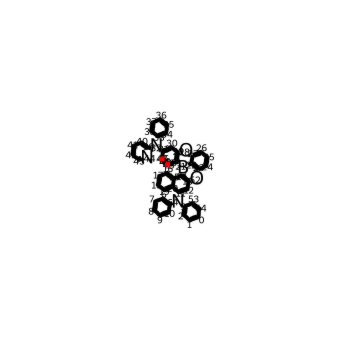 c1ccc(N(c2ccccc2)c2cc3c(c4ccccc24)B2c4c(cccc4Oc4cc(N(c5ccccc5)c5ccccn5)c5ccccc5c42)O3)cc1